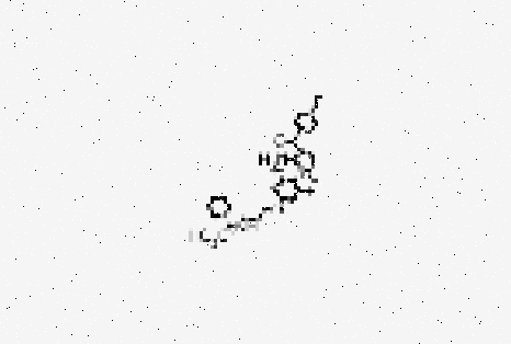 Nc1c(C(=O)c2ccc(F)cc2)ccc(=O)n1-c1c(F)cc(OCCCN[C@H](C(=O)O)c2ccccc2)cc1F